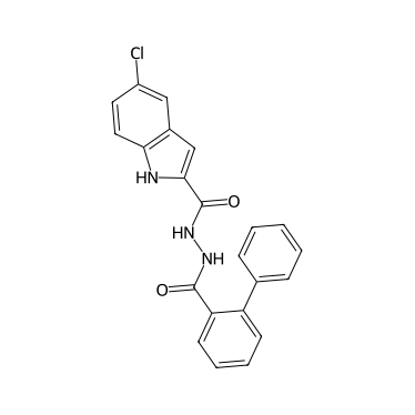 O=C(NNC(=O)c1ccccc1-c1ccccc1)c1cc2cc(Cl)ccc2[nH]1